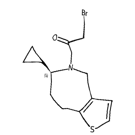 O=C(CBr)N1Cc2ccsc2CC[C@H]1C1CC1